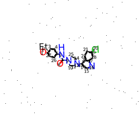 CCOc1ccc(NC(=O)N2CCN(c3ccnc4cc(Cl)ccc34)CC2)cc1